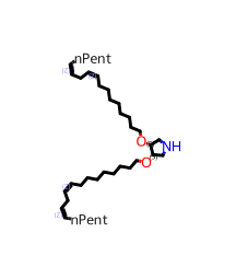 CCCCC/C=C\C/C=C\CCCCCCCCO[C@H]1CNC[C@@H]1OCCCCCCCC/C=C\C/C=C\CCCCC